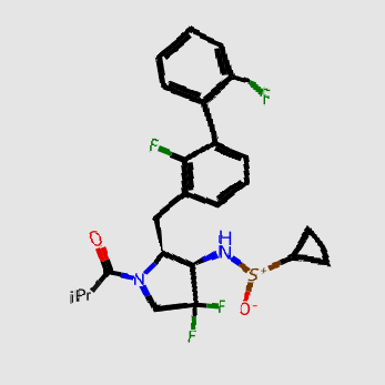 CC(C)C(=O)N1CC(F)(F)[C@H](N[S+]([O-])C2CC2)[C@@H]1Cc1cccc(-c2ccccc2F)c1F